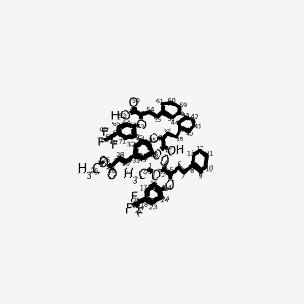 CCOC(=O)C(CCC1=CCCCC1)Oc1ccc(C(F)(F)F)cc1.COC(=O)C=Cc1ccc(OC(CCC2=CCCCC2)C(=O)O)cc1.O=C(O)C(CCC1=CCCCC1)Oc1ccc(C(F)(F)F)cc1